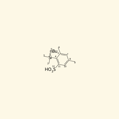 CCCC[Si](C)(C)c1c(C)cc(C)cc1S(=O)(=O)O